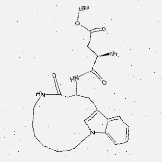 CCC[C@H](CC(=O)OC(C)(C)C)C(=O)NC1Cc2cn(c3ccccc23)CCCCCCNC1=O